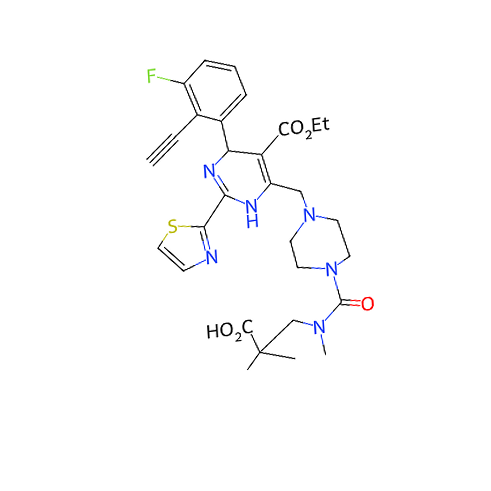 C#Cc1c(F)cccc1C1N=C(c2nccs2)NC(CN2CCN(C(=O)N(C)CC(C)(C)C(=O)O)CC2)=C1C(=O)OCC